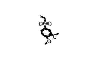 COc1ccc(S(=O)(=O)CI)cc1OC